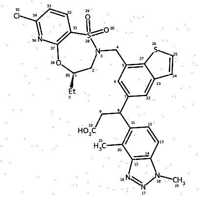 CC[C@@H]1CN(Cc2cc(C(CC(=O)O)c3ccc4c(nnn4C)c3C)cc3ccsc23)S(=O)(=O)c2ccc(Cl)nc2O1